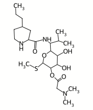 CCCC1CCNC(C(=O)NC(C(C)C)C2OC(SC)C(OC(=O)CN(C)C)C(O)C2O)C1